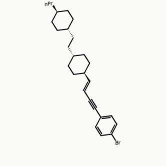 CCC[C@H]1CC[C@H](CC[C@H]2CC[C@H](C=CC#Cc3ccc(Br)cc3)CC2)CC1